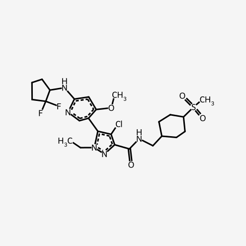 CCn1nc(C(=O)NCC2CCC(S(C)(=O)=O)CC2)c(Cl)c1-c1cnc(NC2CCCC2(F)F)cc1OC